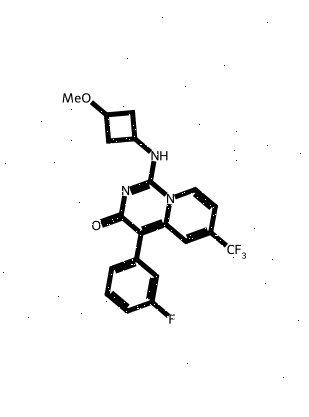 COC1CC(Nc2nc(=O)c(-c3cccc(F)c3)c3cc(C(F)(F)F)ccn23)C1